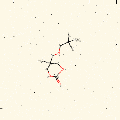 CC(=O)C(C)(COCC1(C)COC(=O)OC1)C(C)=O